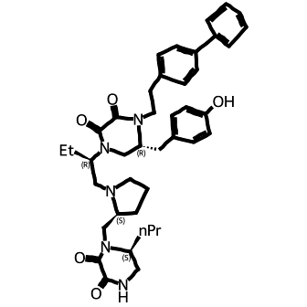 CCC[C@H]1CNC(=O)C(=O)N1C[C@@H]1CCCN1C[C@@H](CC)N1C[C@@H](Cc2ccc(O)cc2)N(CCc2ccc(-c3ccccc3)cc2)C(=O)C1=O